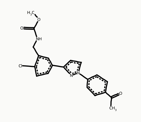 COC(=O)NCc1cc(-c2ccn(-c3ccc(C(C)=O)cc3)n2)ccc1Cl